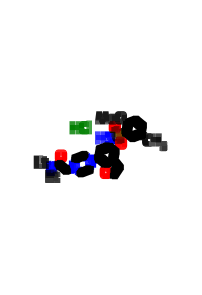 CCN(CC)C(=O)CN1CCN(c2cc(NS(=O)(=O)c3cc(C)ccc3OC)cc3ccoc23)CC1.Cl